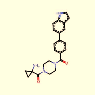 NC1(C(=O)N2CCN(C(=O)c3ccc(-c4ccc5[nH]ccc5c4)cc3)CC2)CC1